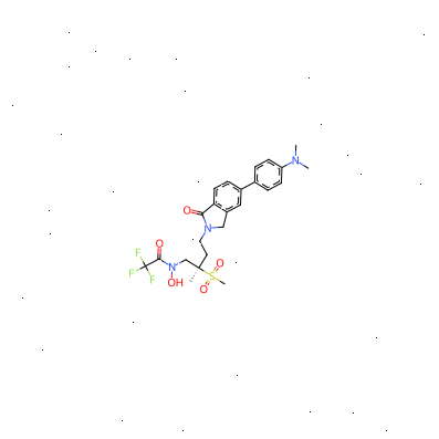 CN(C)c1ccc(-c2ccc3c(c2)CN(CC[C@](C)(CN(O)C(=O)C(F)(F)F)S(C)(=O)=O)C3=O)cc1